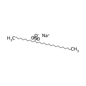 CCCCCCCCCCCCCCCCC(CCCCCCCCC)S(=O)(=O)[O-].[Na+]